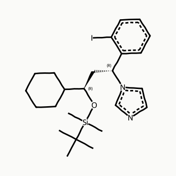 CC(C)(C)[Si](C)(C)O[C@H](C[C@H](c1ccccc1I)n1ccnc1)C1CCCCC1